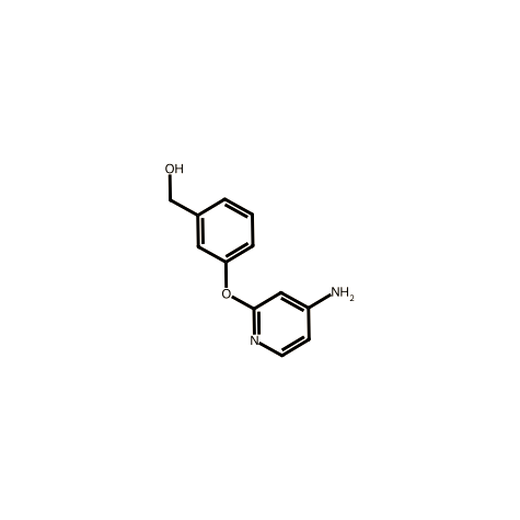 Nc1ccnc(Oc2cccc(CO)c2)c1